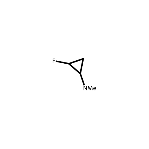 CNC1CC1F